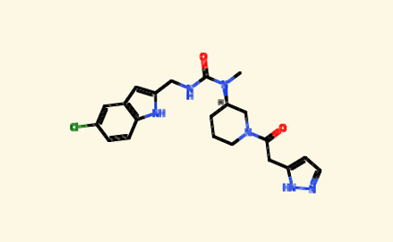 CN(C(=O)NCc1cc2cc(Cl)ccc2[nH]1)[C@@H]1CCCN(C(=O)Cc2ccn[nH]2)C1